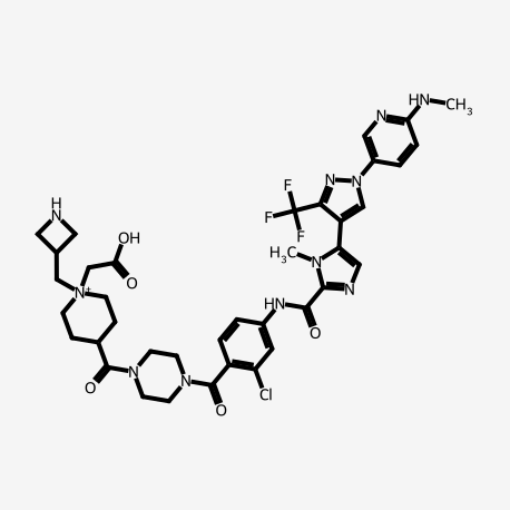 CNc1ccc(-n2cc(-c3cnc(C(=O)Nc4ccc(C(=O)N5CCN(C(=O)C6CC[N+](CC(=O)O)(CC7CNC7)CC6)CC5)c(Cl)c4)n3C)c(C(F)(F)F)n2)cn1